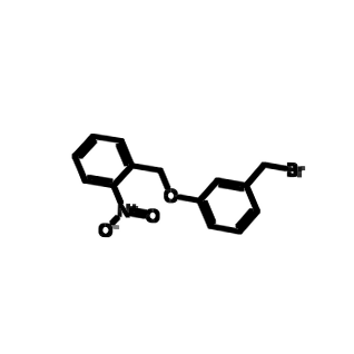 O=[N+]([O-])c1ccccc1COc1cccc(CBr)c1